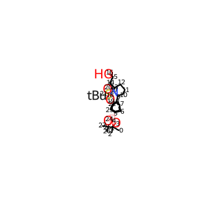 CC1(C)OB(c2ccc(C3CCCC(CCO)N3S(=O)(=O)C(C)(C)C)cc2)OC1(C)C